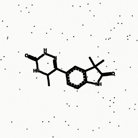 CC1NC(=O)NN=C1c1ccc2c(c1)C(C)(C)C(=O)N2